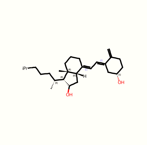 C=C1CC[C@H](O)C/C1=C\C=C1/CCC[C@@]2(C)[C@@H]([C@H](C)CCCC(C)C)C(O)C[C@@H]12